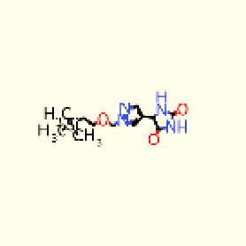 C[Si](C)(C)CCOCn1cc(C2NC(=O)NC2=O)cn1